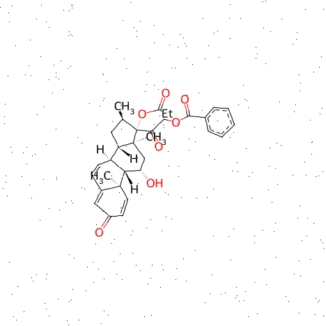 CCC(=O)O[C@@]1(C(=O)COC(=O)c2ccccc2)[C@H](C)C[C@H]2[C@@H]3C=CC4=CC(=O)C=C[C@]4(C)[C@H]3[C@@H](O)C[C@@]21C